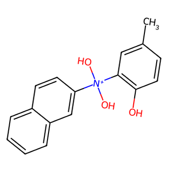 Cc1ccc(O)c([N+](O)(O)c2ccc3ccccc3c2)c1